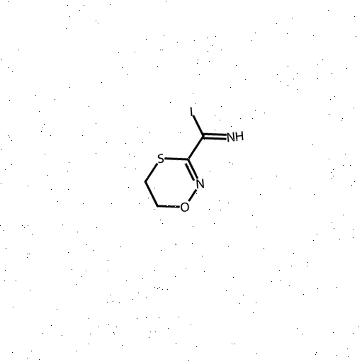 N=C(I)C1=NOCCS1